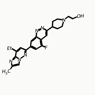 CCc1cc(-c2cc(F)c3cc(C4CCN(CCO)CC4)nnc3c2)nn2cc(C)nc12